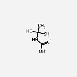 CC(O)(S)NC(=O)O